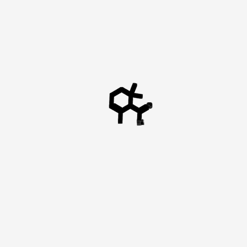 CCC(=O)C1C(C)=CCCC1(C)C